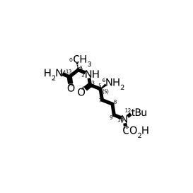 C[C@H](NC(=O)[C@@H](N)CCCN(C(=O)O)C(C)(C)C)C(N)=O